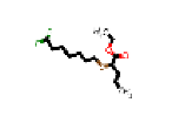 CCCC(SCCCCCCC(F)F)C(=O)OCC